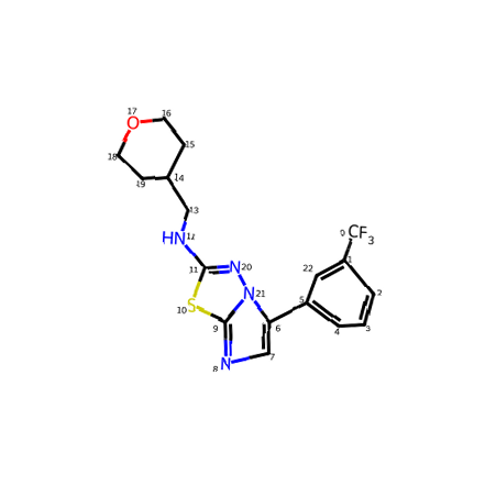 FC(F)(F)c1cccc(-c2cnc3sc(NCC4CCOCC4)nn23)c1